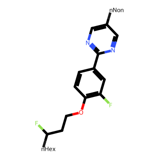 CCCCCCCCCc1cnc(-c2ccc(OCCC(F)CCCCCC)c(F)c2)nc1